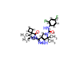 CC1(C)c2[nH]nc(NC(=O)C3([Si](C)(C)C)CCC3)c2CN1C(=O)Nc1ccc(F)cc1F